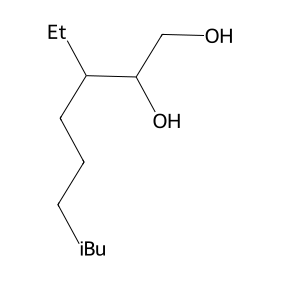 CCC(C)CCCC(CC)C(O)CO